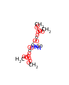 C=CC(=O)OCCC(=O)OC(COC(=O)C=C)COc1ccc(C(=O)OCCc2ccc(OC(=O)c3ccc(OCC(COC(=O)C=C)OC(=O)OCOC(=O)C=C)cc3)c(/C=N/Nc3nc4ccccc4s3)c2)cc1